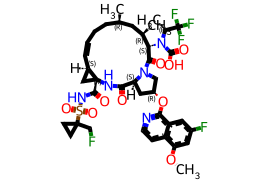 COc1cc(F)cc2c(O[C@@H]3C[C@H]4C(=O)N[C@]5(C(=O)NS(=O)(=O)C6(CF)CC6)C[C@H]5C=CCC[C@@H](C)C[C@@H](C)[C@H](N(C(=O)O)[C@H](C)C(F)(F)F)C(=O)N4C3)nccc12